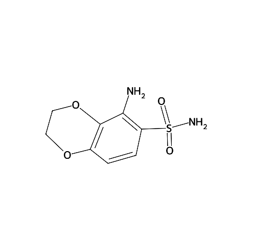 Nc1c(S(N)(=O)=O)ccc2c1OCCO2